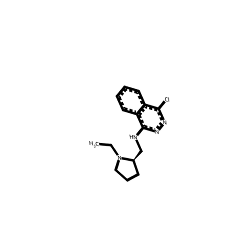 CCN1CCC[C@@H]1CNc1nnc(Cl)c2ccccc12